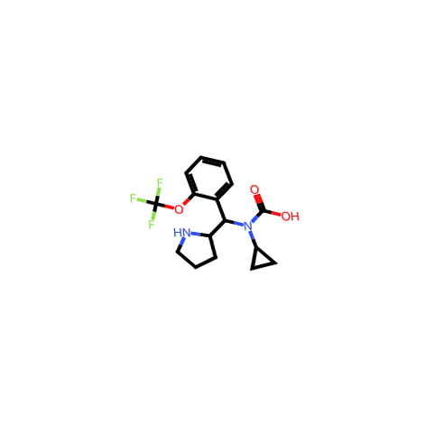 O=C(O)N(C1CC1)C(c1ccccc1OC(F)(F)F)C1CCCN1